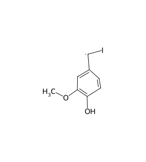 COc1cc([CH]I)ccc1O